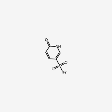 CC(C)S(=O)(=O)c1ccc(=O)[nH]c1